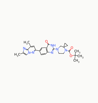 Cc1cn2nc(-c3ccc4nc(N5CCN(C(=O)OC(C)(C)C)C6(CC6)C5)[nH]c(=O)c4c3)cc(C)c2n1